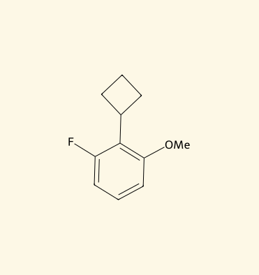 COc1cccc(F)c1C1CCC1